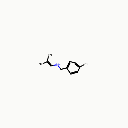 CC(C)(C)c1ccc(CNC=C(C#N)C#N)cc1